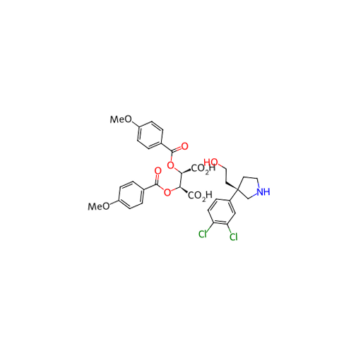 COc1ccc(C(=O)O[C@H](C(=O)O)[C@@H](OC(=O)c2ccc(OC)cc2)C(=O)O)cc1.OCC[C@@]1(c2ccc(Cl)c(Cl)c2)CCNC1